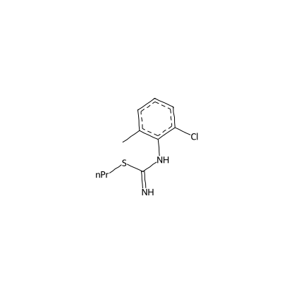 CCCSC(=N)Nc1c(C)cccc1Cl